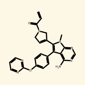 C=CC(=O)N1CC=C(c2c(-c3ccc(Oc4ncccn4)cc3)c3c(N)ncnc3n2C)C1